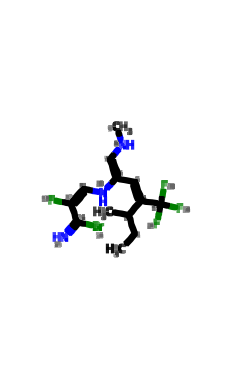 CCC(C)/C(=C\C(=C/NC)N/C=C(/F)C(=N)Br)C(F)(F)F